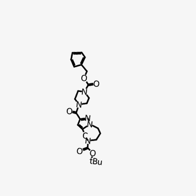 CC(C)(C)OC(=O)N1CCCn2nc(C(=O)N3CCN(C(=O)OCc4ccccc4)CC3)cc2C1